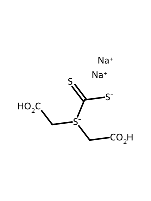 O=C(O)C[S-](CC(=O)O)C(=S)[S-].[Na+].[Na+]